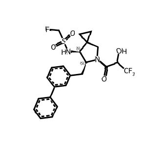 O=C(C(O)C(F)(F)F)N1CC2(CC2)[C@H](NS(=O)(=O)CF)[C@@H]1Cc1cccc(-c2ccccc2)c1